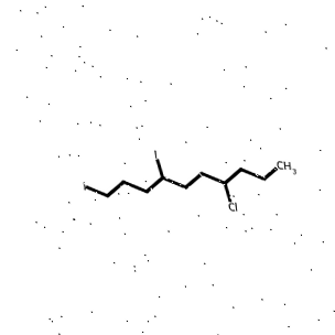 CCCC(Cl)CCC(I)CCCI